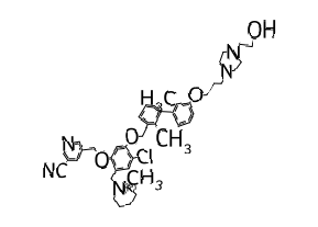 Cc1c(COc2cc(OCc3cncc(C#N)c3)c(CN3CCCC[C@H]3C)cc2Cl)cccc1-c1cccc(OCCCN2CCN(CCO)CC2)c1C